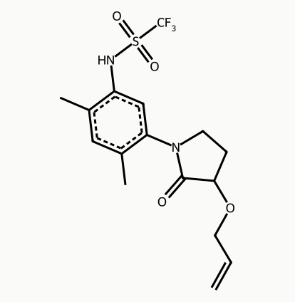 C=CCOC1CCN(c2cc(NS(=O)(=O)C(F)(F)F)c(C)cc2C)C1=O